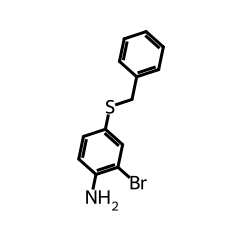 Nc1ccc(SCc2ccccc2)cc1Br